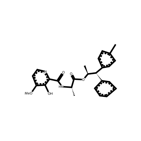 COc1ccnc(C(=O)N[C@@H](C)C(=O)O[C@@H](C)[C@@H](c2ccccc2)c2ccc(C)cc2)c1O